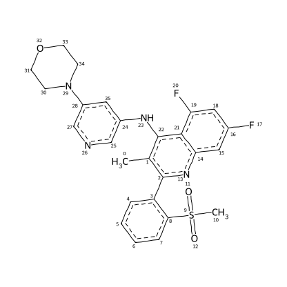 Cc1c(-c2ccccc2S(C)(=O)=O)nc2cc(F)cc(F)c2c1Nc1cncc(N2CCOCC2)c1